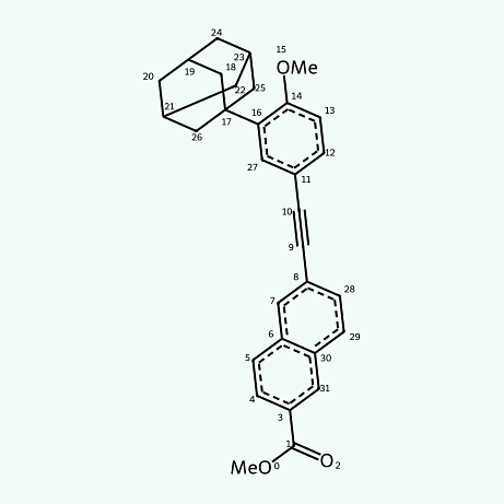 COC(=O)c1ccc2cc(C#Cc3ccc(OC)c(C45CC6CC(CC(C6)C4)C5)c3)ccc2c1